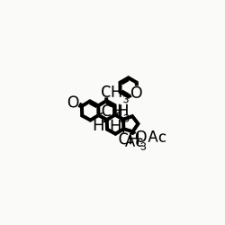 C1=CCOC=C1.CC(=O)O[C@]1(C(C)=O)CC[C@H]2[C@@H]3C=C(C)C4=CC(=O)CC[C@]4(C)[C@H]3CC[C@@]21C